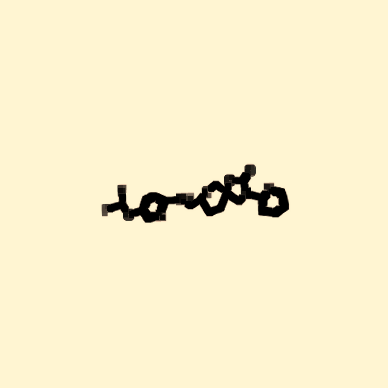 O=C1O[C@]2(CC[C@H](CNc3ccc(OC(F)F)cn3)CC2)CN1c1ccccn1